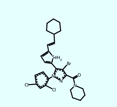 O=C(c1nn(-c2ccc(Cl)cc2Cl)c(C2=CC=C(C=CC3CCCCC3)[SeH2]2)c1Br)N1CCCCC1